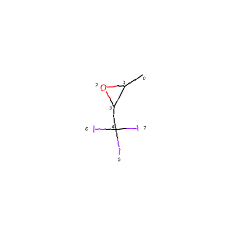 CC1OC1C(I)(I)I